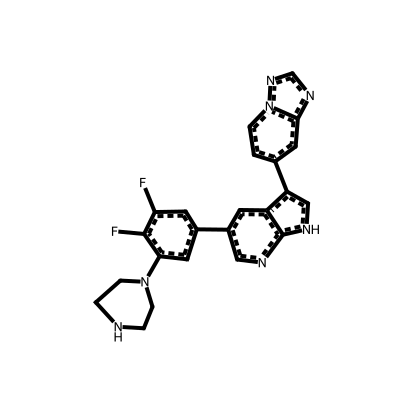 Fc1cc(-c2cnc3[nH]cc(-c4ccn5ncnc5c4)c3c2)cc(N2CCNCC2)c1F